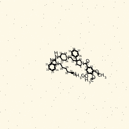 COc1cc(C(=O)N2CCC(CCN3CCC(Nc4nc5ccccc5n4CCCCC#N)CC3)(c3ccccc3)C2)cc(OC)c1OC